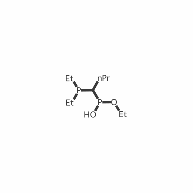 CCCC(P(CC)CC)P(O)OCC